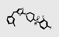 Cc1cccc(Cc2csc(N3CCC(S(=O)(=O)c4ccc(F)cc4F)CC3)n2)c1